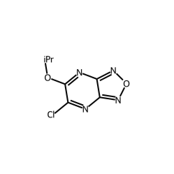 CC(C)Oc1nc2nonc2nc1Cl